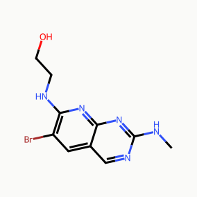 CNc1ncc2cc(Br)c(NCCO)nc2n1